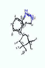 CC1(C)CC(c2cccc3[nH]ncc23)CC1(C)C